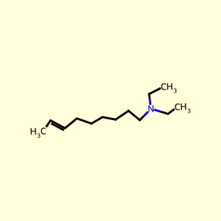 CC=CCCCCCCN(CC)CC